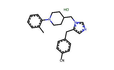 Cc1ccccc1N1CCC(Cn2cncc2Cc2ccc(C#N)cc2)CC1.Cl